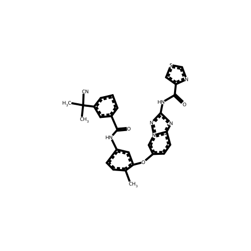 Cc1ccc(NC(=O)c2cccc(C(C)(C)C#N)c2)cc1Oc1ccc2nc(NC(=O)c3cscn3)nn2c1